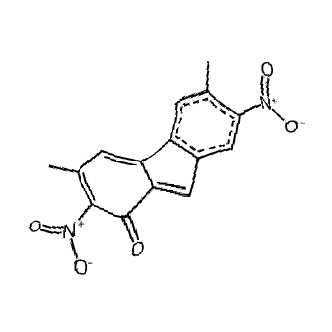 CC1=C([N+](=O)[O-])C(=O)C2=Cc3cc([N+](=O)[O-])c(C)cc3C2=C1